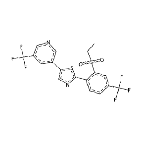 CCS(=O)(=O)c1cc(C(F)(F)F)ccc1-c1ncc(-c2cncc(C(F)(F)F)c2)s1